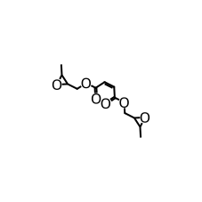 CC1OC1COC(=O)/C=C\C(=O)OCC1OC1C